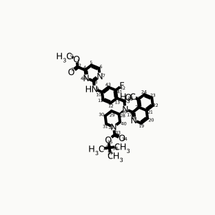 COC(=O)c1ccnc(Nc2ccc(C(=O)N(c3nccc4cccc(C)c34)[C@@H]3CCCN(C(=O)OC(C)(C)C)C3)c(F)c2)n1